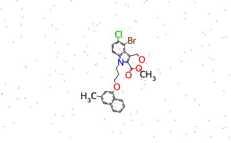 COC(=O)c1c(C=O)c2c(Br)c(Cl)ccc2n1CCCOc1cc(C)cc2ccccc12